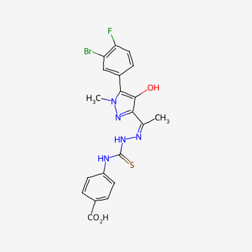 C/C(=N/NC(=S)Nc1ccc(C(=O)O)cc1)c1nn(C)c(-c2ccc(F)c(Br)c2)c1O